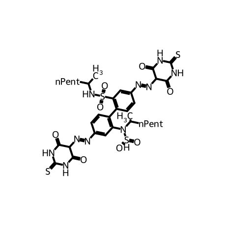 CCCCCC(C)NS(=O)(=O)c1cc(N=NC2C(=O)NC(=S)NC2=O)ccc1-c1ccc(N=NC2C(=O)NC(=S)NC2=O)cc1N(C(C)CCCCC)[SH](=O)=O